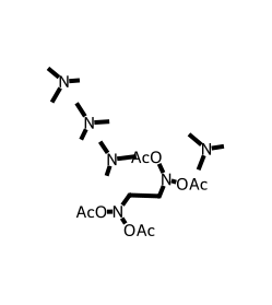 CC(=O)ON(CCN(OC(C)=O)OC(C)=O)OC(C)=O.CN(C)C.CN(C)C.CN(C)C.CN(C)C